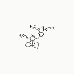 CCOC(=O)c1ccc(CC(=O)NC(C(=O)OCC)c2ccccc2N2CCCCC2)cc1OCC